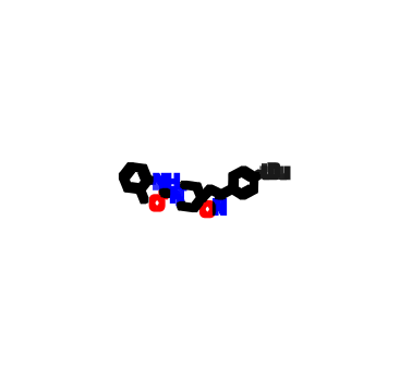 Cc1ccccc1NC(=O)N1CCC2(CC1)CC(c1ccc(C(C)(C)C)cc1)=NO2